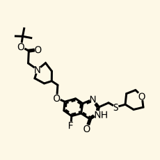 CC(C)(C)OC(=O)CN1CCC(COc2cc(F)c3c(=O)[nH]c(CSC4CCOCC4)nc3c2)CC1